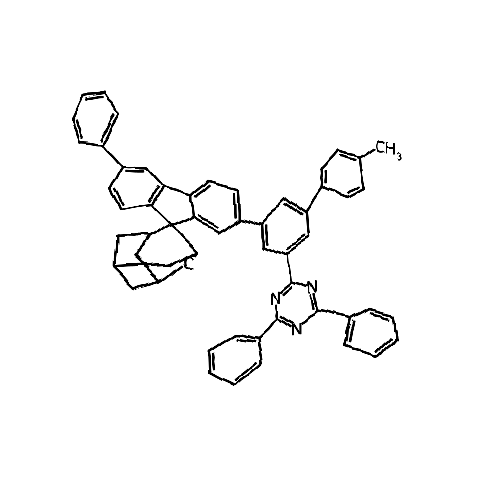 Cc1ccc(-c2cc(-c3ccc4c(c3)C3(c5ccc(-c6ccccc6)cc5-4)C4CC5CC(C4)CC3C5)cc(-c3nc(-c4ccccc4)nc(-c4ccccc4)n3)c2)cc1